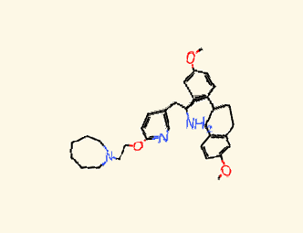 COc1ccc2c(c1)CCC(c1ccc(OC)cc1C(N)Cc1ccc(OCCN3CCCCCC3)nc1)C2